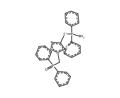 B[P-]([CH+]c1cn(CP(=O)(c2ccccc2)c2ccccc2)nn1)(c1ccccc1)c1ccccc1